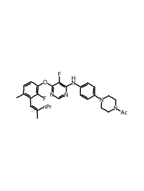 CCC/C(C)=C\c1c(C)ccc(Oc2ncnc(Nc3ccc(N4CCN(C(C)=O)CC4)cc3)c2F)c1F